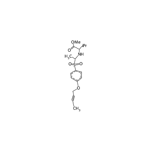 CC#CCOc1ccc(S(=O)(=O)C(C)NC(C(=O)OC)C(C)C)cc1